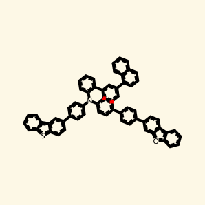 c1cc(-c2ccccc2N(c2ccc(-c3ccc(-c4ccc5c(c4)oc4ccccc45)cc3)cc2)c2ccc(-c3ccc4sc5ccccc5c4c3)cc2)cc(-c2cccc3ccccc23)c1